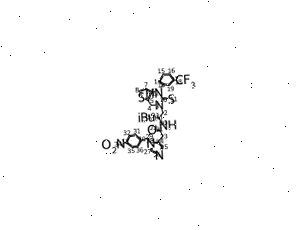 CC[C@H](C)[C@@H](CN(Cc1cccs1)C(=S)Nc1cccc(C(F)(F)F)c1)NC(=O)Cc1cncn1Cc1ccc([N+](=O)[O-])cc1